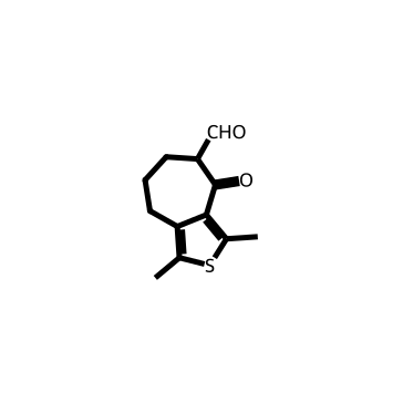 Cc1sc(C)c2c1CCCC(C=O)C2=O